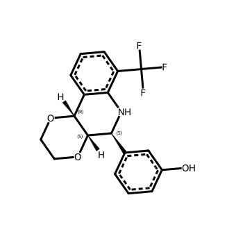 Oc1cccc([C@@H]2Nc3c(cccc3C(F)(F)F)[C@H]3OCCO[C@H]32)c1